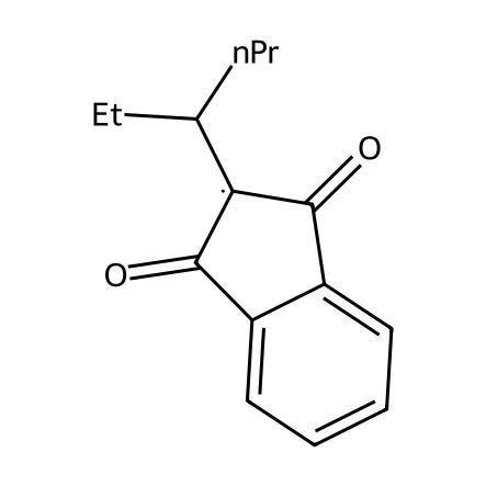 CCCC(CC)[C]1C(=O)c2ccccc2C1=O